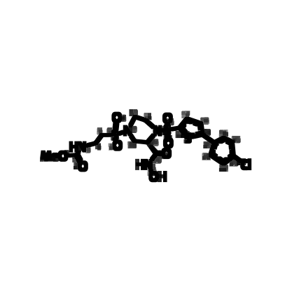 COC(=O)NCCS(=O)(=O)N1CCN(S(=O)(=O)c2ccc(-c3ccc(Cl)cc3)s2)[C@@H](C(=O)NO)C1